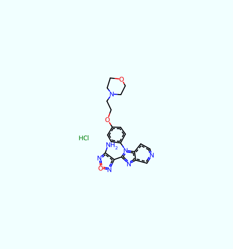 Cl.Nc1nonc1-c1nc2cnccc2n1-c1ccc(OCCN2CCOCC2)cc1